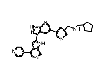 c1cc(-c2cncc3[nH]c(-c4n[nH]c5ncc(-c6cncc(CNCC7CCCC7)c6)cc45)cc23)ccn1